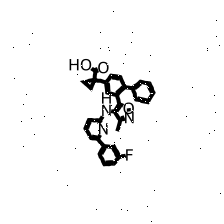 Cc1noc(-c2cc(C3(C(=O)O)CC3)ccc2-c2ccccc2)c1Nc1cccc(-c2cccc(F)c2)n1